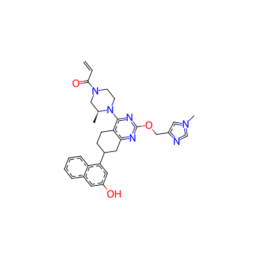 C=CC(=O)N1CCN(c2nc(OCc3cn(C)cn3)nc3c2CCC(c2cc(O)cc4ccccc24)C3)[C@@H](C)C1